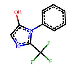 Oc1cnc(C(F)(F)F)n1-c1ccccc1